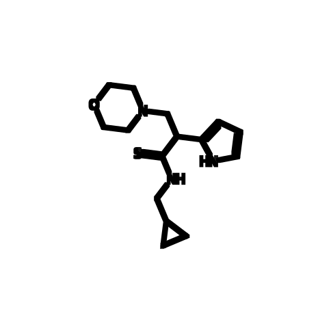 S=C(NCC1CC1)C(CN1CCOCC1)c1ccc[nH]1